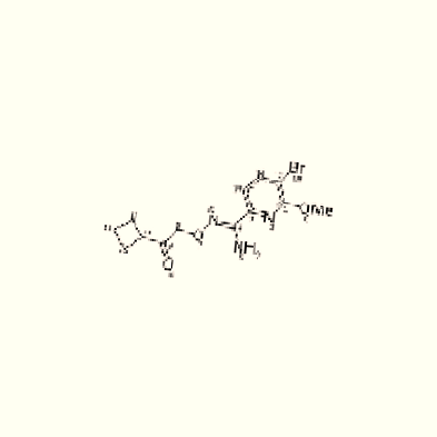 COc1nc(/C(N)=N/OCC(=O)C2CCC2)ccc1Br